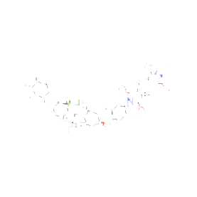 Cc1ccc(Oc2ccc(C(c3ccc(Oc4ccc(N5C(=O)C6C7CCC(C8C(=O)N(C)C(=O)C78)C6C5=O)cc4)cc3)(C(F)(F)F)C(F)(F)F)cc2)cc1